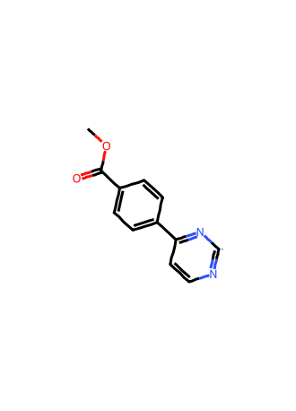 COC(=O)c1ccc(-c2ccn[c]n2)cc1